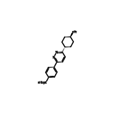 CCCCCCCc1ccc(-c2ccc([C@H]3CC[C@H](CCC)CC3)nn2)cc1